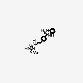 CSc1nc(NC/C=C/c2ccc(C(=O)Nc3ccccc3N)cc2)n[nH]1